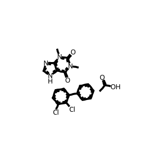 CC(=O)O.Clc1cccc(-c2ccccc2)c1Cl.Cn1c(=O)c2[nH]cnc2n(C)c1=O